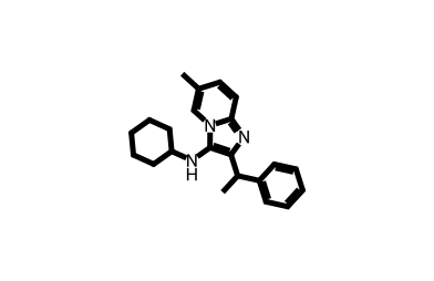 Cc1ccc2nc(C(C)c3ccccc3)c(NC3CCCCC3)n2c1